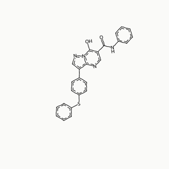 O=C(Nc1ccccc1)c1cnc2c(-c3ccc(Sc4ccccc4)cc3)cnn2c1O